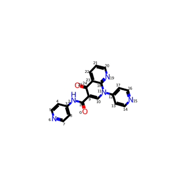 O=C(Nc1ccncc1)c1cn(-c2ccncc2)c2ncccc2c1=O